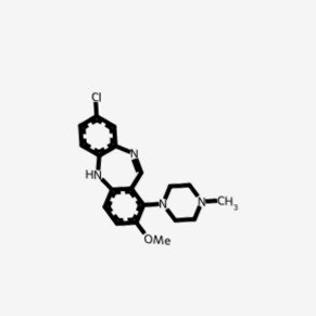 COc1ccc2c(c1N1CCN(C)CC1)C=Nc1cc(Cl)ccc1N2